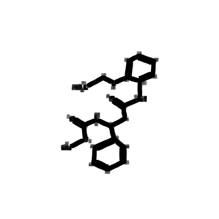 CC(C)(C)OC(=O)NC(CC(=O)Nc1ccccc1SCC(=O)O)c1ccccc1